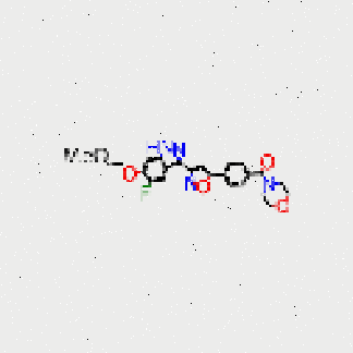 COCCOc1cc2[nH]nc(-c3cc(-c4ccc(C(=O)N5CCOCC5)cc4)on3)c2cc1F